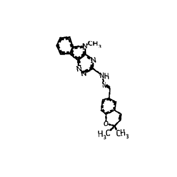 Cn1c2ccccc2c2nnc(NN=Cc3ccc4c(c3)C=CC(C)(C)O4)nc21